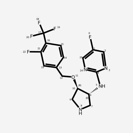 Fc1cnc(N[C@@H]2CNC[C@H]2OCc2ccc(C(F)(F)F)c(F)c2)nc1